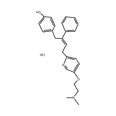 CN(C)CCOc1cnc(C/C=C(\Cc2ccc(O)cc2)c2ccccc2)nc1.Cl